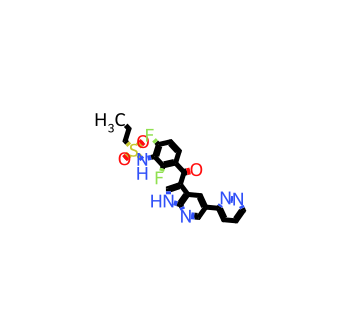 CCCS(=O)(=O)Nc1c(F)ccc(C(=O)c2c[nH]c3ncc(-c4cccnn4)cc23)c1F